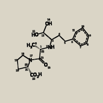 C[C@H](NC(CCc1ccccc1)C(O)O)C(=O)N1CCC[C@H]1C(=O)O